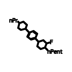 CCCCCC1CCC(c2ccc(C3CCC(CCC)CC3)cc2)CC1F